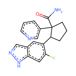 NC(=O)C1(c2cccnc2)CCCC1c1cc2cn[nH]c2cc1F